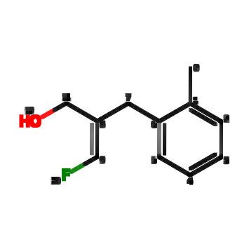 Cc1ccccc1CC(=CF)CO